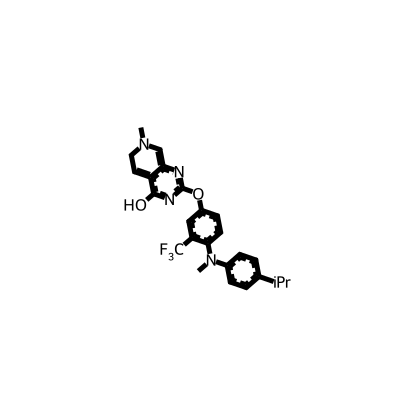 CC(C)c1ccc(N(C)c2ccc(Oc3nc(O)c4c(n3)=CN(C)CC=4)cc2C(F)(F)F)cc1